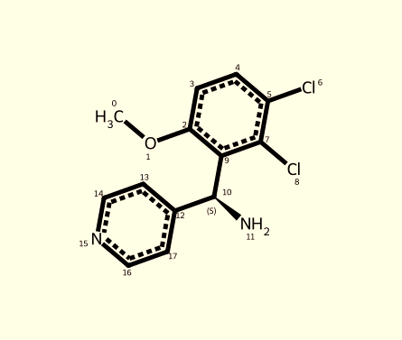 COc1ccc(Cl)c(Cl)c1[C@@H](N)c1ccncc1